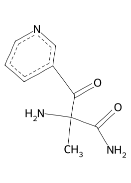 CC(N)(C(N)=O)C(=O)c1cccnc1